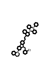 CCc1ccccc1CC1c2cc(/C=C/c3ccc(N4c5ccccc5N(c5ccccc5)c5ccccc54)c4ccccc34)ccc2-c2ccc(N3CCCc4ccccc43)cc21